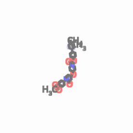 C=C/C=C\C(=C/C)c1ccc(OC(=O)N2CCC(Oc3ccn(-c4ccc(S(C)(=O)=O)cc4)c(=O)c3)CC2)cc1